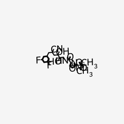 CN(c1nc(C(=O)NCC(O)C(O)CC(C#N)Cc2cc(F)cc(F)c2)co1)S(C)(=O)=O